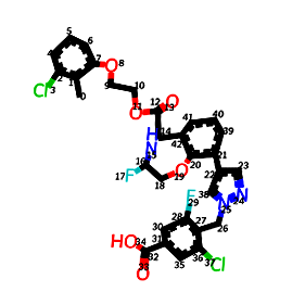 Cc1c(Cl)cccc1OCCOC(=O)C1NC(F)COc2c(-c3cnn(Cc4c(F)cc(C(=O)O)cc4Cl)c3)cccc21